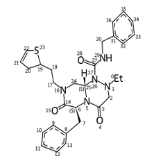 CCN1CC(=O)N2[C@@H](Cc3ccccc3)C(=O)N(CCC3CC=CS3)C[C@@H]2N1C(=O)NCc1ccccc1